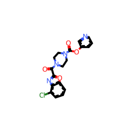 O=C(Oc1cccnc1)N1CCN(C(=O)c2nc3c(Cl)cccc3o2)CC1